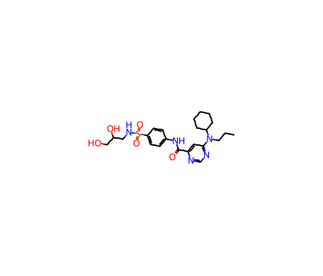 CCCN(c1cc(C(=O)Nc2ccc(S(=O)(=O)NCC(O)CO)cc2)ncn1)C1CCCCC1